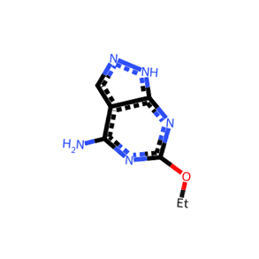 CCOc1nc(N)c2cn[nH]c2n1